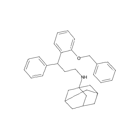 c1ccc(COc2ccccc2C(CCNC23CC4CC(CC(C4)C2)C3)c2ccccc2)cc1